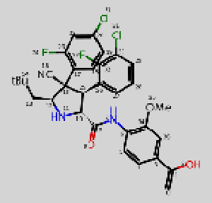 C=C(O)c1ccc(NC(=O)[C@@H]2N[C@@H](CC(C)(C)C)[C@](C#N)(c3ccc(Cl)cc3F)[C@H]2c2cccc(Cl)c2F)c(OC)c1